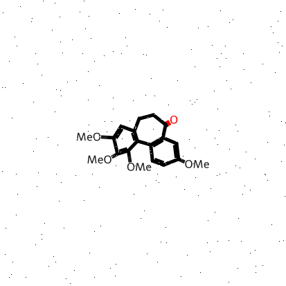 COc1ccc2c(c1)C(=O)CCc1cc(OC)c(OC)c(OC)c1-2